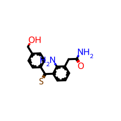 NC(=O)Cc1cccc(C(=S)c2ccc(CO)cc2)c1N